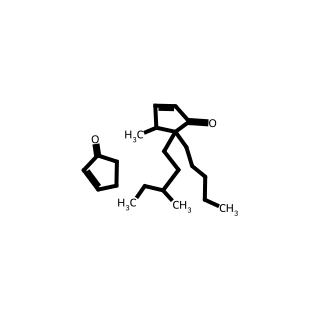 CCCCCC1(CCC(C)CC)C(=O)C=CC1C.O=C1C=CCC1